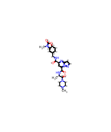 C[C@H](NC(=O)c1cc(C(=O)NCc2ccc3oc(=O)n(C)c3c2)nc2ccnn12)C(=O)N1CCN(C)CC1